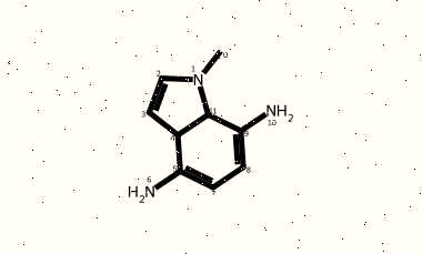 CN1C=CC2C(N)=CC=C(N)C21